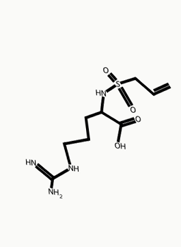 C=CCS(=O)(=O)NC(CCCNC(=N)N)C(=O)O